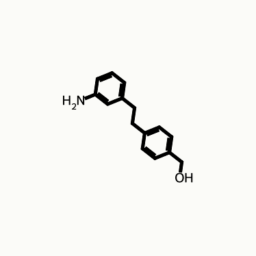 Nc1cccc(CCc2ccc(CO)cc2)c1